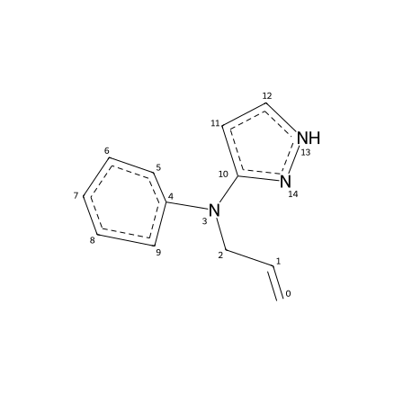 C=CCN(c1ccccc1)c1cc[nH]n1